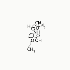 CCCCOc1cccc(NC(=O)OC(C)(C)C)c1C(=O)O